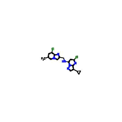 FC(F)(F)c1cc(Cl)c2nc(CNc3cc(Cl)nc4c(C5CC5)cnn34)cn2c1